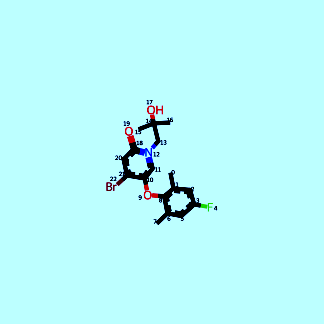 Cc1cc(F)cc(C)c1Oc1cn(CC(C)(C)O)c(=O)cc1Br